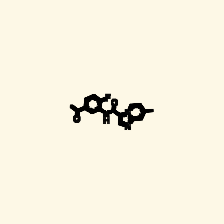 CC(=O)c1ccc(F)c(NC(=O)c2cnc3cc(C)ccn23)c1